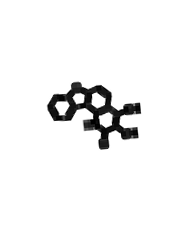 O=c1[nH]c2c(ccc3oc4ccccc4c32)c(O)c1O